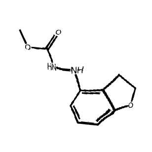 COC(=O)NNc1cccc2c1CCO2